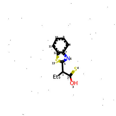 CCC(C(O)=S)c1nc2ccccc2s1